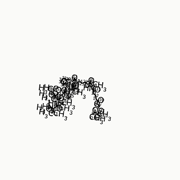 CCC(CO)OC(COC(=O)CCCC(=O)N[C@@H](C)C(=O)OCCCNC(=O)[C@H](Cc1ccccc1)NC(=O)[C@H](C)[C@@H](OC)[C@@H]1CCCN1C(=O)C[C@@H](OC)[C@H](C(C)CC)N(C)C(=O)[C@@H](NC(=O)[C@@H](NC)C(C)C)C(C)C)OC